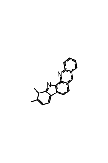 C[C]1C(C)=CC=C2C1=Nc1c2ccc2cc3ccccc3nc12